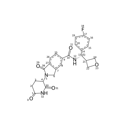 O=C1CCC(N2Cc3cc(C(=O)N[C@H](c4ccc(F)cc4)C4COC4)ccc3C2=O)C(=O)N1